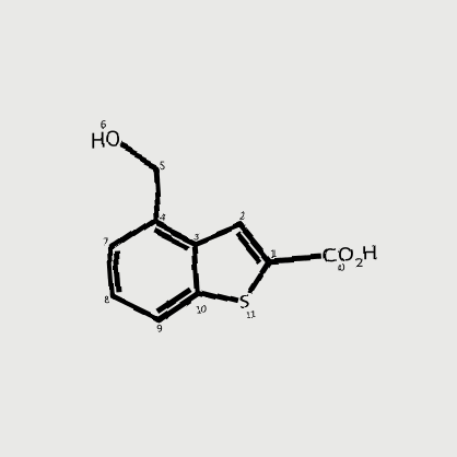 O=C(O)c1cc2c(CO)cccc2s1